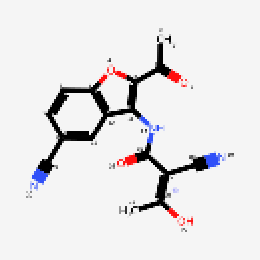 CC(=O)c1oc2ccc(C#N)cc2c1NC(=O)/C(C#N)=C(\C)O